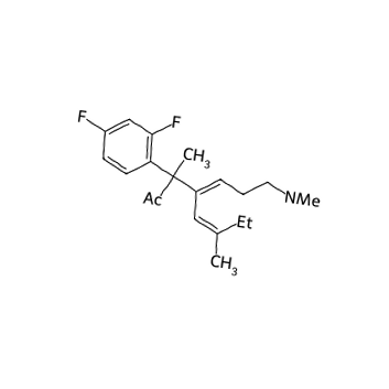 CC/C(C)=C\C(=C/CCNC)C(C)(C(C)=O)c1ccc(F)cc1F